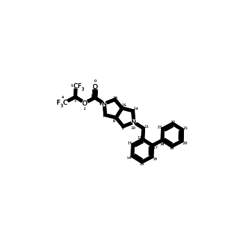 O=C(OC(C(F)(F)F)C(F)(F)F)N1CC2CN(Cc3ccccc3-c3ccccc3)CC2C1